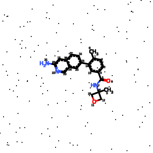 Cc1ccc(C(=O)NC2(C)COC2)cc1-c1ccc2cc(N)ncc2c1